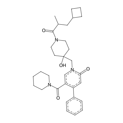 CC(CC1CCC1)C(=O)N1CCC(O)(Cn2cc(C(=O)N3CCCCC3)c(-c3ccccc3)cc2=O)CC1